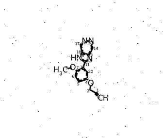 C#CCOc1ccc(OC)c(-c2nc3cnncc3[nH]2)c1